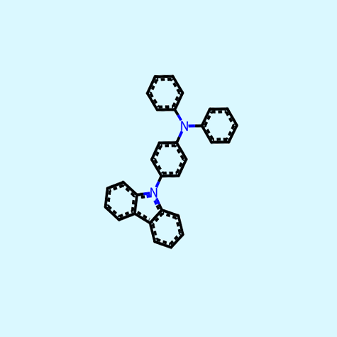 c1ccc(N(c2ccccc2)c2ccc(-n3c4ccccc4c4ccccc43)cc2)cc1